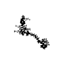 Cc1ncsc1-c1ccc([C@H](C)NC(=O)[C@@H]2C[C@@H](O)CN2C(=O)[C@@H](c2cc(N3CC(OCCOCCOCCn4cc(/C(=C/C(=N)c5ccccc5O)C(=N)N)cn4)C3)no2)C(C)C)cc1